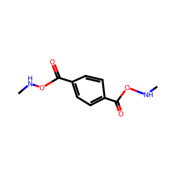 CNOC(=O)c1ccc(C(=O)ONC)cc1